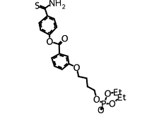 CCOP(=O)(OCC)OCCCCOc1cccc(C(=O)Oc2ccc(C(N)=S)cc2)c1